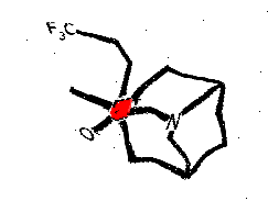 CN1CC2CC(C1)N2[S+]([O-])CC(F)(F)F